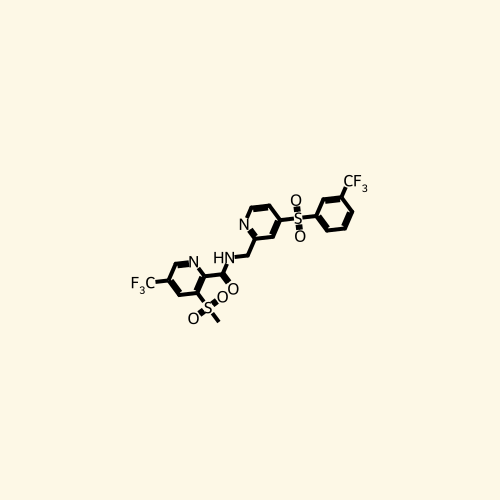 CS(=O)(=O)c1cc(C(F)(F)F)cnc1C(=O)NCc1cc(S(=O)(=O)c2cccc(C(F)(F)F)c2)ccn1